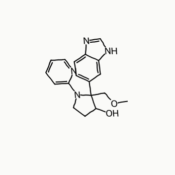 COCC1(c2ccc3nc[nH]c3c2)C(O)CCN1c1ccccn1